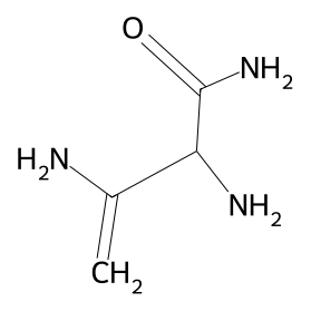 C=C(N)C(N)C(N)=O